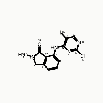 CN1Cc2cccc(Nc3nc(Cl)ncc3I)c2C1=O